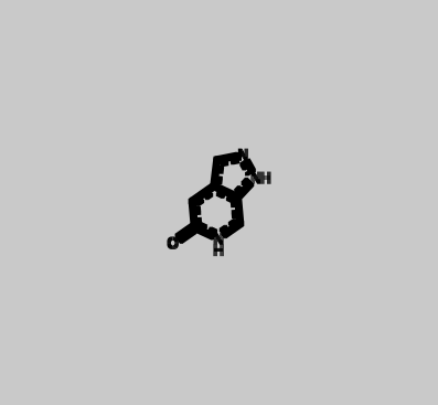 O=c1cc2cn[nH]c2c[nH]1